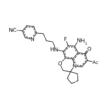 CC(=O)c1cn2c3c(c(NCCCc4ccc(C#N)cn4)c(F)c(N)c3c1=O)OCC21CCCC1